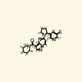 O=C(c1cnn2ccc(N3CCCC3c3cncc(F)c3)nc12)N1CCCCC1